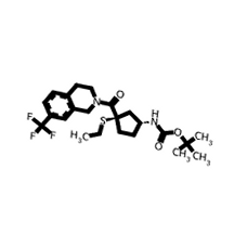 CCS[C@]1(C(=O)N2CCc3ccc(C(F)(F)F)cc3C2)CC[C@@H](NC(=O)OC(C)(C)C)C1